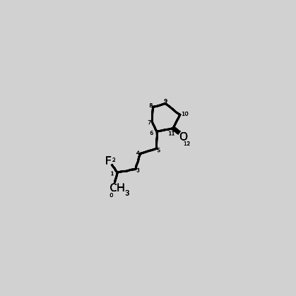 CC(F)CCCC1CCCCC1=O